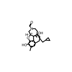 Cc1cc2c3c(c1O)O[C@H]1CN(C=O)CCC4(O)C(C2)N(CC2CC2)CCC314